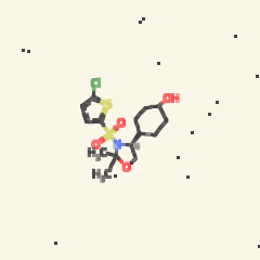 CC1(C)OC[C@H](C2CCC(O)CC2)N1S(=O)(=O)c1ccc(Cl)s1